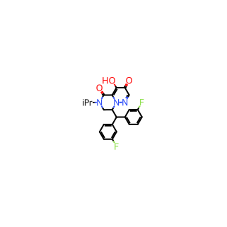 CC(C)N1CC(C(c2cccc(F)c2)c2cccc(F)c2)n2ncc(=O)c(O)c2C1=O